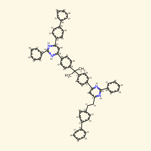 CC(C)(c1ccc(-c2cc(CCc3ccc(-c4ccccc4)cc3)nc(-c3ccccc3)n2)cc1)c1ccc(-c2cc(-c3ccc(-c4ccccc4)cc3)nc(-c3ccccc3)n2)cc1